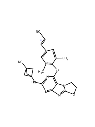 Cc1cc(/C=C/C#N)cc(C)c1Oc1nc(NC23CC(C#N)(C2)C3)nc2nc3n(c12)CCO3